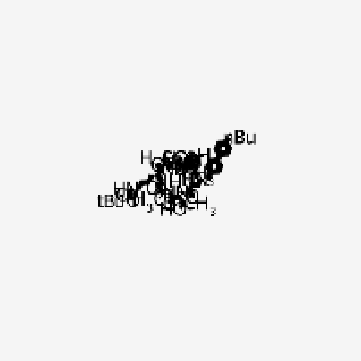 CCCCc1ccc(-c2ccc(CNCCC(=O)N[C@H](C(=O)N[C@@H](C)C(=O)N[C@@H](CCCCNC(=O)OC(C)(C)C)C(=O)N[C@@H](C)B3OC4C[C@@H]5C[C@@H](C5(C)C)[C@]4(C)O3)[C@@H](C)O)cc2)cc1